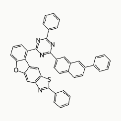 c1ccc(-c2ccc3ccc(-c4nc(-c5ccccc5)nc(-c5cccc6oc7cc8nc(-c9ccccc9)sc8cc7c56)n4)cc3c2)cc1